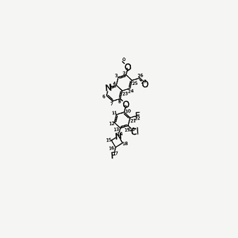 COc1cc2nccc(Oc3ccc(N4CC(F)C4)c(Cl)c3F)c2cc1C=O